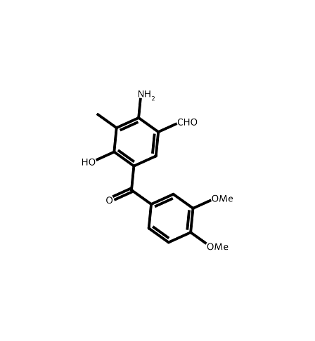 COc1ccc(C(=O)c2cc(C=O)c(N)c(C)c2O)cc1OC